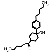 CCCCCc1ccc(C2(O)CCC(C(=O)OCCCC)CC2)cc1